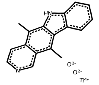 Cc1c2ccncc2c(C)c2c1[nH]c1ccccc12.[O-2].[O-2].[Ti+4]